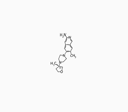 Cc1cc2cnc(N)cc2cc1N1CCN([C@@]2(C)CCOC2)CC1